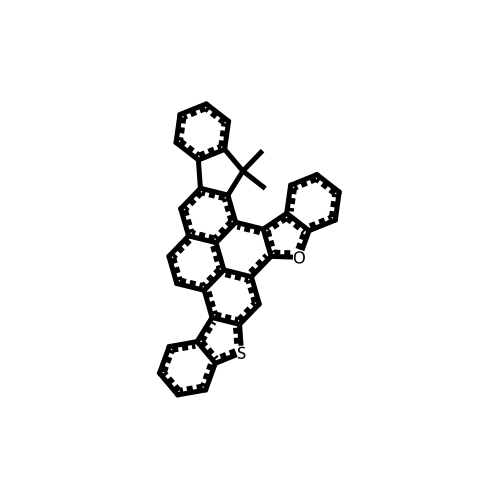 CC1(C)c2ccccc2-c2cc3ccc4c5c(cc6c7oc8ccccc8c7c(c21)c3c64)sc1ccccc15